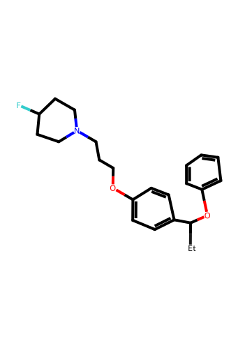 [CH2]CC(Oc1ccccc1)c1ccc(OCCCN2CCC(F)CC2)cc1